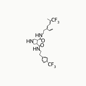 C=C/C(=C\C=C(/C)C(F)(F)F)CCNC(=O)[C@@H]1CNCC1C(=O)NCCc1ccc(C(F)(F)F)cc1